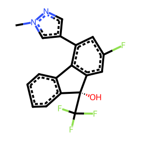 Cn1cc(-c2cc(F)cc3c2-c2ccccc2[C@]3(O)C(F)(F)F)cn1